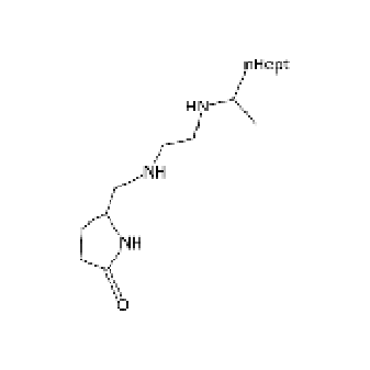 CCCCCCCC(C)NCCNCC1CCC(=O)N1